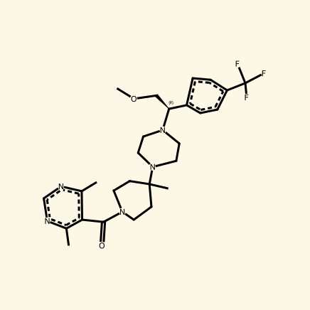 COC[C@@H](c1ccc(C(F)(F)F)cc1)N1CCN(C2(C)CCN(C(=O)c3c(C)ncnc3C)CC2)CC1